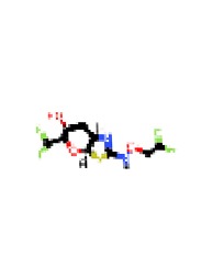 CN(OCC(F)F)C1=N[C@@H]2C[C@H](O)C(C(F)F)O[C@@H]2S1